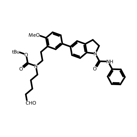 COc1ccc(-c2ccc3c(c2)CCN3C(=O)Nc2ccccc2)cc1CCN(CCCCC=O)C(=O)OC(C)(C)C